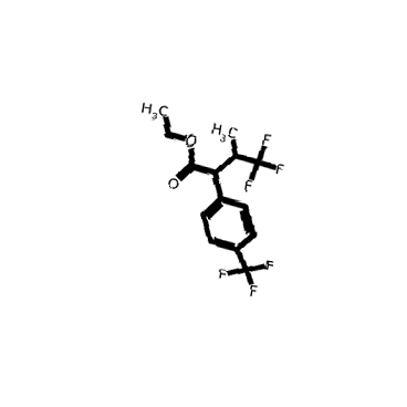 CCOC(=O)C(c1ccc(C(F)(F)F)cc1)C(C)C(F)(F)F